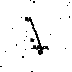 CCCCCCCCCCCCCCCCCCCC[N+](CC)(CC)c1ccccc1.[Br-]